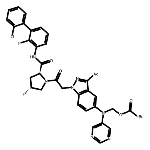 CC(=O)c1nn(CC(=O)N2C[C@H](F)C[C@H]2C(=O)Nc2cccc(-c3ccccc3Cl)c2F)c2ccc(N(COC(=O)C(C)(C)C)c3cncnc3)cc12